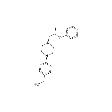 CC(CN1CCN(c2ccc(CO)cc2)CC1)Oc1ccccc1